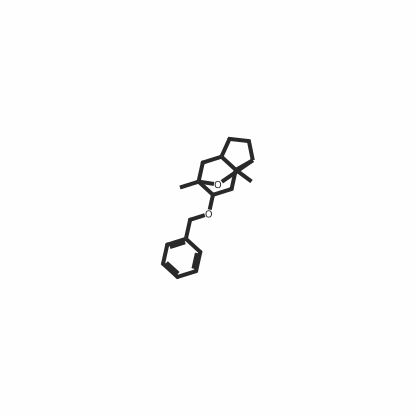 CC12CC3CCC(O1)C3(C)CC2OCc1ccccc1